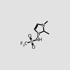 CC1N(C)C=CN1NS(=O)(=O)C(F)(F)F